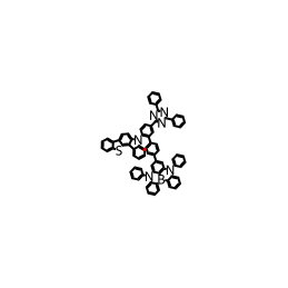 c1ccc(-c2nc(-c3ccccc3)nc(-c3ccc(-n4c5ccccc5c5c6sc7ccccc7c6ccc54)c(-c4ccc(-c5cc6c7c(c5)N(c5ccccc5)c5ccccc5B7c5ccccc5N6c5ccccc5)cc4)c3)n2)cc1